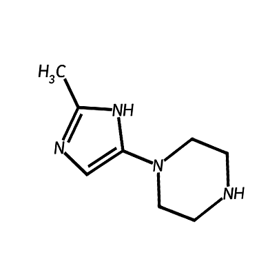 Cc1ncc(N2CCNCC2)[nH]1